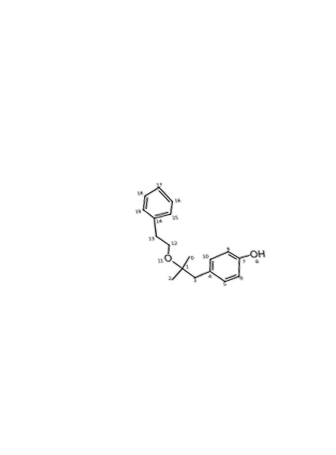 CC(C)(Cc1ccc(O)cc1)OCCc1ccccc1